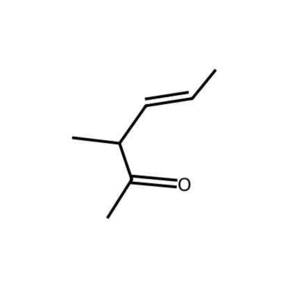 C/C=C/C(C)C(C)=O